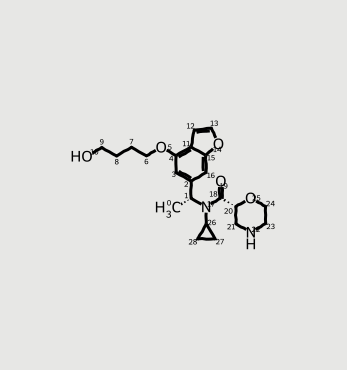 C[C@H](c1cc(OCCCCO)c2ccoc2c1)N(C(=O)[C@H]1CNCCO1)C1CC1